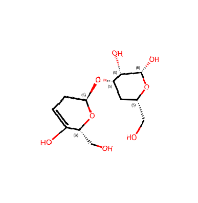 OC[C@@H]1C[C@H](O[C@@H]2CC=C(O)[C@@H](CO)O2)[C@H](O)[C@H](O)O1